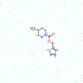 CC1CCN(C(=O)OCc2cncs2)CC1